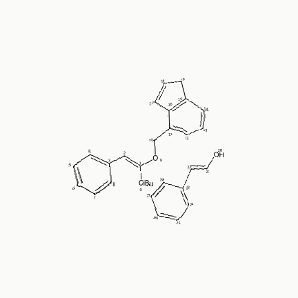 CC(C)COC(=Cc1ccccc1)OCc1cccc2c1C=CC2.OC=Cc1ccccc1